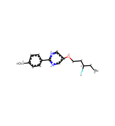 CCCCCCCCc1ccc(-c2ncc(OCCC(F)CC(C)CC)cn2)cc1